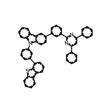 c1ccc(-c2cc(-c3ccccc3)nc(-c3cccc(-c4ccc5c(c4)c4ccccc4n5-c4cccc(-c5cccc6c5sc5ccccc56)c4)c3)n2)cc1